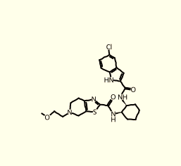 COCCN1CCc2nc(C(=O)N[C@@H]3CCCC[C@@H]3NC(=O)c3cc4cc(Cl)ccc4[nH]3)sc2C1